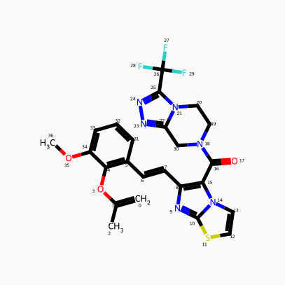 C=C(C)Oc1c(/C=C/c2nc3sccn3c2C(=O)N2CCn3c(nnc3C(F)(F)F)C2)cccc1OC